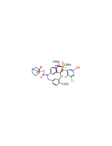 COc1ccc([C@H](Cc2c(Cl)c[n+](O)cc2Cl)c2cc(CN(C(=O)O[C@H]3CN4CCC3CC4)c3ccc(NS(C)(=O)=O)cc3)ccc2C(=O)[O-])cc1OC